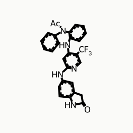 CC(=O)N(c1ccccc1)c1ccccc1Nc1cc(Nc2ccc3c(c2)CC(=O)N3)ncc1C(F)(F)F